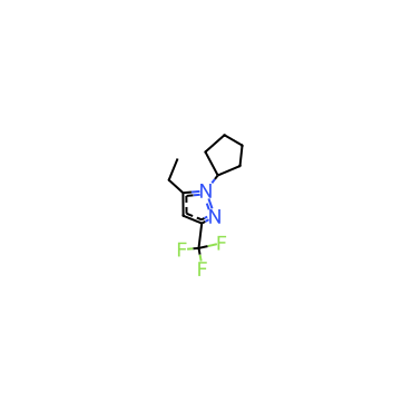 CCc1cc(C(F)(F)F)nn1C1CCCC1